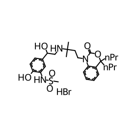 Br.CCCC1(CCC)OC(=O)N(CCC(C)(C)NCC(O)c2ccc(O)c(NS(C)(=O)=O)c2)c2ccccc21